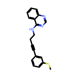 CSc1cccc(C#CCCNc2ncnc3ccccc23)c1